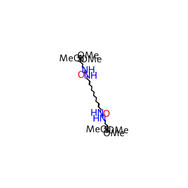 CO[Si](CCCNC(=O)NCC=CCCCCCC/C=C/CNC(=O)NCCC[Si](OC)(OC)OC)(OC)OC